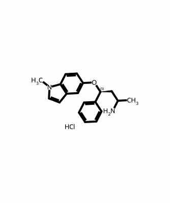 CC(N)C[C@H](Oc1ccc2c(ccn2C)c1)c1ccccc1.Cl